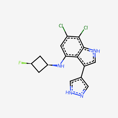 F[C@H]1C[C@@H](Nc2cc(Cl)c(Cl)c3[nH]cc(-c4cn[nH]c4)c23)C1